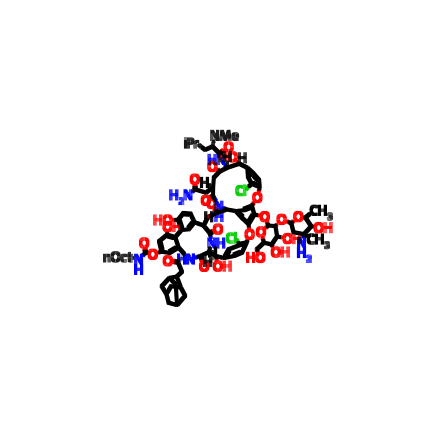 CCCCCCCCNC(=O)Oc1cc(O)c2c(c1)[C@@H](C(=O)CC1C3CC4CC(C3)CC1C4)NC(=O)[C@H]1NC(=O)[C@H](CC(=O)C3NC(=O)[C@H](CC(N)=O)CC(=O)[C@H](NC(=O)[C@@H](CC(C)C)NC)[C@H](O)c4ccc(c(Cl)c4)Oc4cc3cc(c4OC3OC(CO)C(O)C(O)C3OC3CC(C)(N)C(O)C(C)O3)Oc3ccc(cc3Cl)[C@H]1O)c1ccc(O)c-2c1